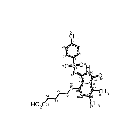 Cc1ccc(S(=O)(=O)N=c2[nH]c(=O)n3c(C)c(C)sc(SCCCCC(=O)O)c2-3)cc1